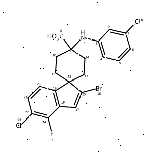 O=C(O)C1(Nc2cccc(Cl)c2)CCC2(CC1)C(Br)=Cc1c2ccc(Cl)c1F